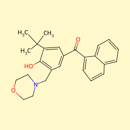 CC(C)(C)c1cc(C(=O)c2cccc3ccccc23)cc(CN2CCOCC2)c1O